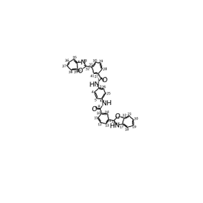 O=C(Nc1ccc(NC(=O)c2cccc(C3Nc4ccccc4O3)c2)cc1)c1cccc(-c2nc3ccccc3o2)c1